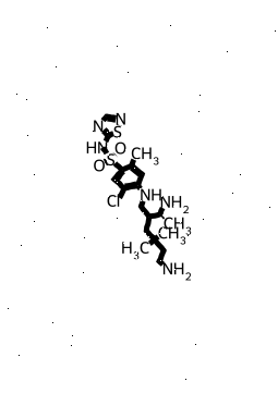 Cc1cc(NCC(CC(C)(C)CCN)[C@@H](C)N)c(Cl)cc1S(=O)(=O)Nc1ncns1